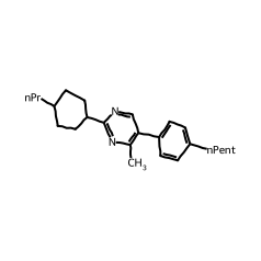 CCCCCc1ccc(-c2cnc(C3CCC(CCC)CC3)nc2C)cc1